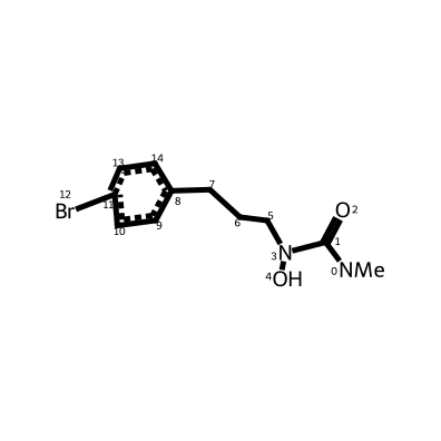 CNC(=O)N(O)CCCc1ccc(Br)cc1